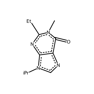 CCc1nc2c(ncn2C(C)C)c(=O)n1C